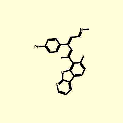 C/N=C/C=C(\C=C(/C)c1c(C)ccc2c1oc1ncccc12)c1ccc(C(C)C)cc1